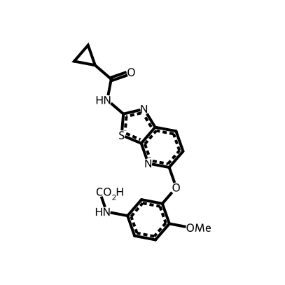 COc1ccc(NC(=O)O)cc1Oc1ccc2nc(NC(=O)C3CC3)sc2n1